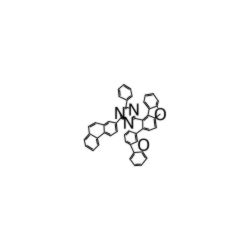 c1ccc(-c2nc(-c3ccc4c(ccc5ccccc54)c3)nc(-c3c(-c4cccc5c4oc4ccccc45)ccc4oc5ccccc5c34)n2)cc1